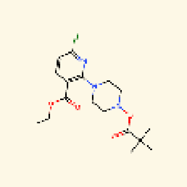 CCOC(=O)c1ccc(Cl)nc1N1CCN(OC(=O)C(C)(C)C)CC1